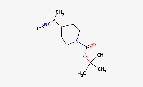 [C-]#[N+]C(C)C1CCN(C(=O)OC(C)(C)C)CC1